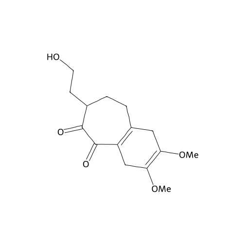 COC1=C(OC)CC2=C(CCC(CCO)C(=O)C2=O)C1